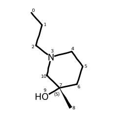 CCCN1CCC[C@](C)(O)C1